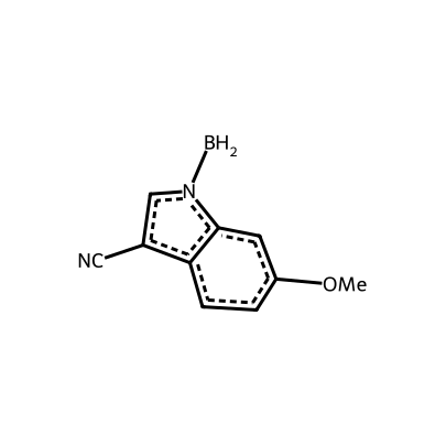 Bn1cc(C#N)c2ccc(OC)cc21